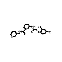 O=C(COc1ccc(Cl)cc1Cl)Nc1cccc(C(=O)NCc2cccnc2)c1